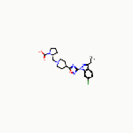 CCc1nn(-c2noc(C3CCN(C[C@@H]4CCCN4C(=O)O)CC3)n2)c2cc(F)ccc12